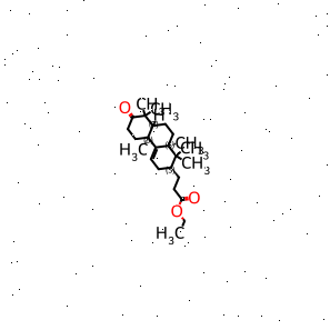 CCOC(=O)CC[C@H]1CC=C2[C@@]3(C)CCC(=O)C(C)(C)[C@@H]3CC[C@@]2(C)C1(C)C